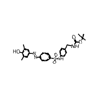 Cc1cc(N=Nc2ccc(S(=O)(=O)Nc3ccc(CNC(=O)OC(C)(C)C)cc3)cc2)cc(C)c1O